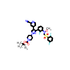 CON(CS(=O)(=O)c1cc(F)ccc1F)c1cccc(-c2nn(C3CCN(C(=O)OC(C)(C)C)CC3)cc2-c2ccnc(C#N)c2)c1F